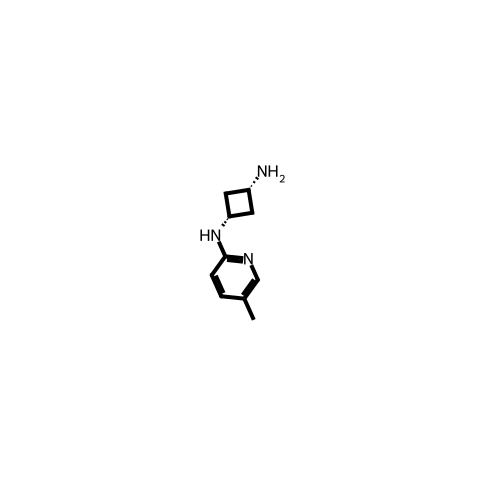 Cc1ccc(N[C@H]2C[C@@H](N)C2)nc1